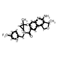 CC1OCc2c1c(N)nc1ccc(C(=O)N(Cc3ccc(C(F)(F)F)cn3)C3CC3(C)C)cc21